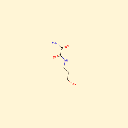 NC(=O)C(=O)NCCCO